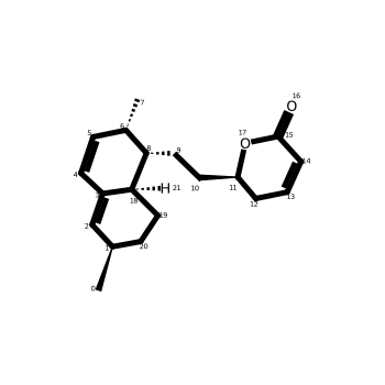 C[C@H]1C=C2C=C[C@H](C)[C@H](CC[C@@H]3CC=CC(=O)O3)[C@H]2CC1